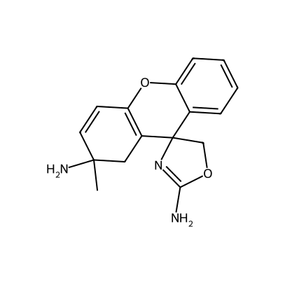 CC1(N)C=CC2=C(C1)C1(COC(N)=N1)c1ccccc1O2